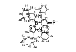 Cc1ccccc1N1c2cc3c(cc2B2c4sc5c(c4N(c4ccccc4C)c4cc(C(C)C)cc1c42)C=C1C(C5)C(C)(C)CCC1(C)C)C(C)(C)CCC3(C)C